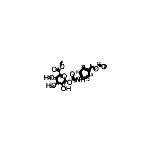 COC(=O)[C@H]1O[C@@H](OC(=O)Nc2ccc(COC=O)cc2)[C@H](O)[C@@H](O)[C@@H]1O